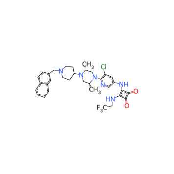 C[C@@H]1CN(c2ncc(Nc3c(NCC(F)(F)F)c(=O)c3=O)cc2Cl)[C@@H](C)CN1C1CCN(Cc2ccc3ccccc3c2)CC1